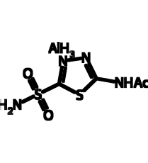 CC(=O)Nc1nnc(S(N)(=O)=O)s1.[AlH3]